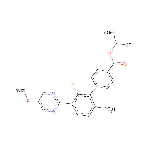 CCCCCCCCOc1cnc(-c2ccc(C(=O)O)c(-c3ccc(C(=O)OC(CCCCCCCC)C(F)(F)F)cc3)c2F)nc1